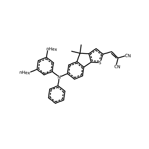 CCCCCCc1cc(CCCCCC)cc(N(c2ccccc2)c2ccc3c(c2)C(C)(C)c2cc(C=C(C#N)C#N)sc2-3)c1